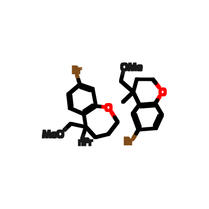 CCCC1(COC)CCCOc2cc(Br)ccc21.COCC1(C)CCOc2ccc(Br)cc21